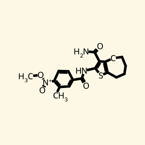 CO[N+](=O)c1ccc(C(=O)Nc2sc3c(c2C(N)=O)CCCCC3)cc1C